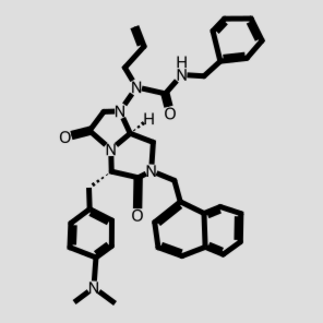 C=CCN(C(=O)NCc1ccccc1)N1CC(=O)N2[C@@H](Cc3ccc(N(C)C)cc3)C(=O)N(Cc3cccc4ccccc34)C[C@@H]21